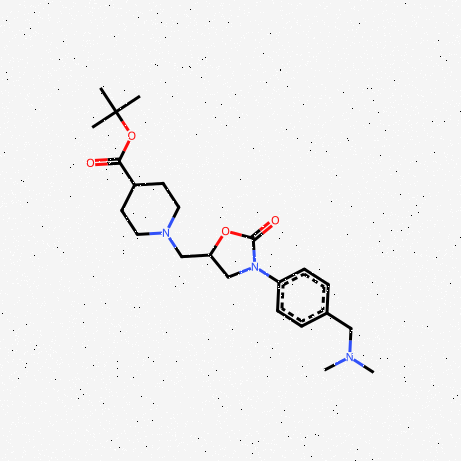 CN(C)Cc1ccc(N2CC(CN3CCC(C(=O)OC(C)(C)C)CC3)OC2=O)cc1